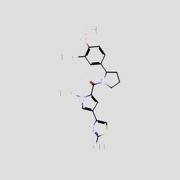 COc1ccc(C2CCCN2C(=O)c2cc(-c3csc(C)n3)cn2C)cc1C